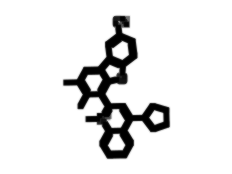 Cc1cc2c(oc3ccc(C#N)cc32)c(-c2cc(C3CCCC3)c3ccccc3[n+]2C)c1C